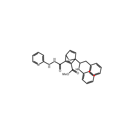 COC(=O)C1=C(C(=O)NNc2ccccn2)C2C=CC1(C(Cc1ccccc1)Nc1ccccc1)O2